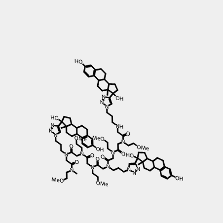 COCCN(C)C(=O)CN(CCCn1cc(C2(O)CCC3C4CCc5cc(O)ccc5C4CCC32C)nn1)C(=O)CN(CCOC)C(=O)CN(CCOC)C(=O)CN(CCCn1cc(C2(O)CCC3C4CCc5cc(O)ccc5C4CCC32C)nn1)C(=O)CN(CCOC)C(=O)CN(CCOC)C(=O)CNCCCn1cc(C2(O)CCC3C4CCc5cc(O)ccc5C4CCC32C)nn1